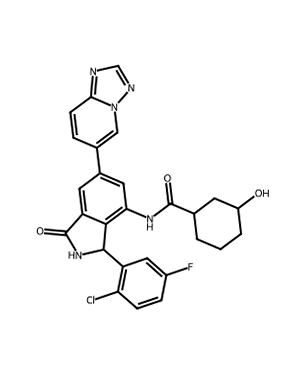 O=C1NC(c2cc(F)ccc2Cl)c2c(NC(=O)C3CCCC(O)C3)cc(-c3ccc4ncnn4c3)cc21